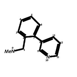 CNCc1ccccc1-c1[c]nccc1